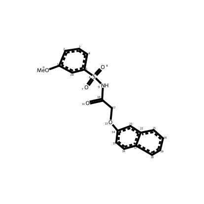 COc1cccc(S(=O)(=O)NC(=O)COc2ccc3ccccc3c2)c1